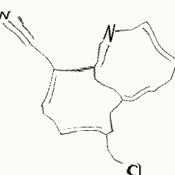 N#Cc1ccc(Cl)c2cccnc12